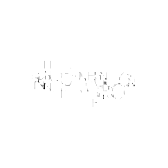 O=C(Nc1ccc(-c2n[nH]c(=O)[nH]2)c(Cl)c1)c1cnn(-c2cccc3ncccc23)c1C(F)(F)F